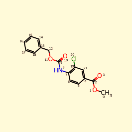 COC(=O)c1ccc(NC(=O)OCc2ccccc2)c(Cl)c1